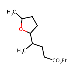 CCOC(=O)CCC(C)C1CCC(C)O1